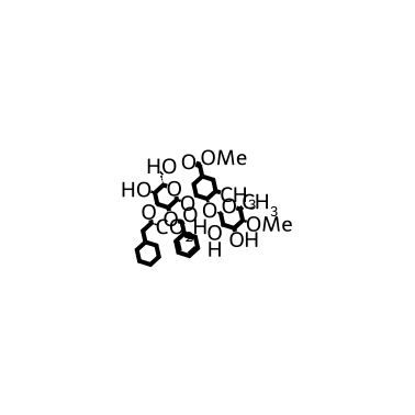 COC(=O)C1CC(C)[C@@H](O[C@@H]2OC(C)[C@@H](OC)C(O)[C@@H]2O)[C@H](O[C@@H]2O[C@@H](CO)[C@H](O)C(O[C@@H](CC3CCCCC3)C(=O)O)C2OC(=O)c2ccccc2)C1